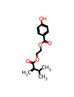 C=C(C(=O)OCCOC(=O)c1ccc(O)cc1)C(C)C